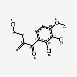 C=C(CCCl)C(=O)c1ccc(OC)c(Cl)c1Cl